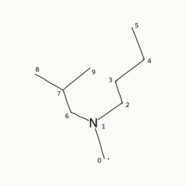 [CH2]N(CCCC)CC(C)C